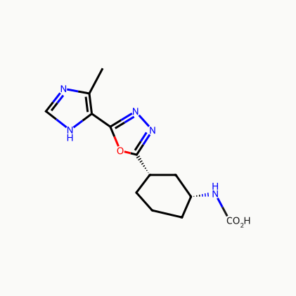 Cc1nc[nH]c1-c1nnc([C@H]2CCC[C@@H](NC(=O)O)C2)o1